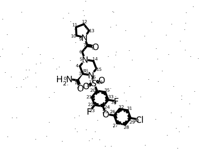 NC(=O)[C@H]1CN(CC(=O)N2CCCC2)CCN1S(=O)(=O)c1cc(F)c(Oc2ccc(Cl)cc2)c(F)c1